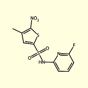 Cc1cc(S(=O)(=O)Nc2cccc(F)n2)sc1[N+](=O)[O-]